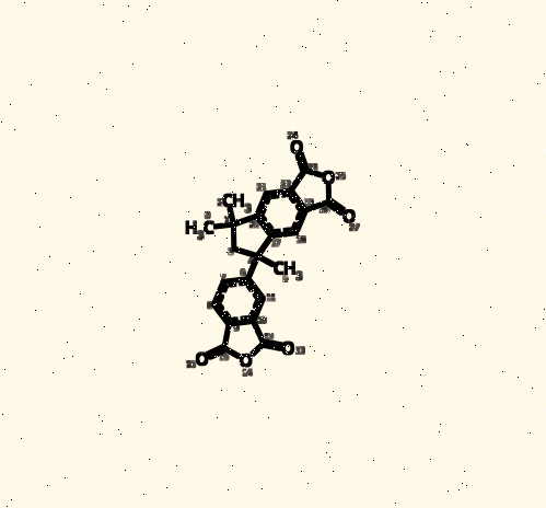 CC1(C)CC(C)(c2ccc3c(c2)C(=O)OC3=O)c2cc3c(cc21)C(=O)OC3=O